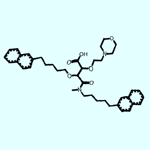 CN(CCCCCc1ccc2ccccc2c1)C(=O)C(OCCCCCc1ccc2ccccc2c1)C(OCCN1CCOCC1)C(=O)O